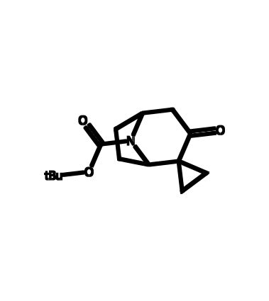 CC(C)(C)OC(=O)N1C2CCC1C1(CC1)C(=O)C2